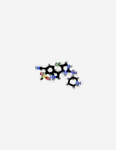 CS(=O)(=O)c1c(C#N)ccc2c(-c3nc(N[C@H]4CCCNC4)ncc3Cl)c[nH]c12